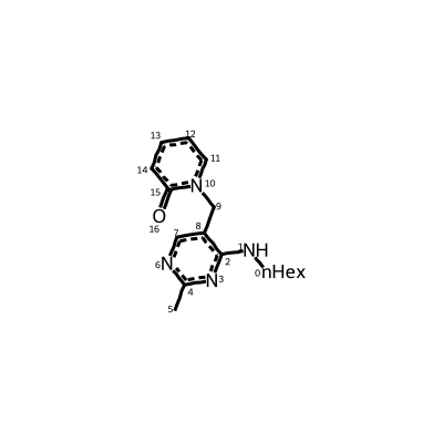 CCCCCCNc1nc(C)ncc1Cn1ccccc1=O